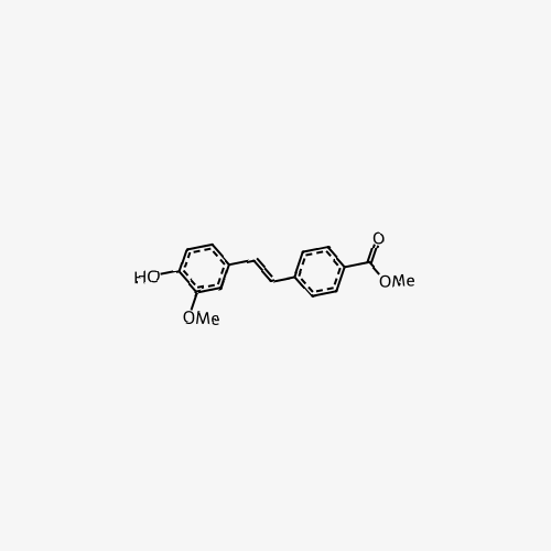 COC(=O)c1ccc(/C=C/c2ccc(O)c(OC)c2)cc1